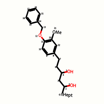 CCCCCCCC(O)CC(O)CCc1ccc(OCc2ccccc2)c(OC)c1